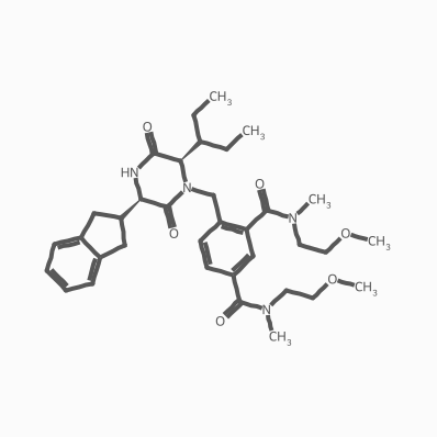 CCC(CC)[C@@H]1C(=O)N[C@H](C2Cc3ccccc3C2)C(=O)N1Cc1ccc(C(=O)N(C)CCOC)cc1C(=O)N(C)CCOC